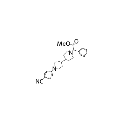 COC(=O)C(c1ccccc1)N1CCC(C2CCN(c3ccc(C#N)cc3)CC2)CC1